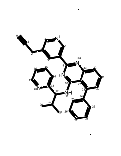 C#CCc1cncc(-c2nc(NC(c3ccccn3)C(C)C)c3c(-c4ccccc4)cccc3n2)c1